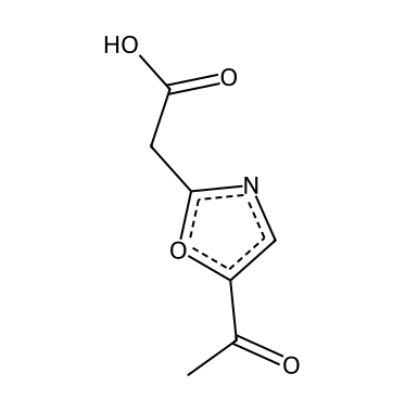 CC(=O)c1cnc(CC(=O)O)o1